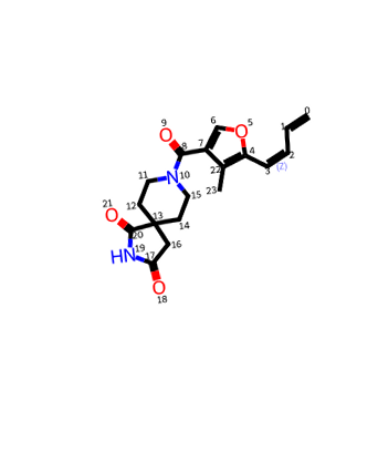 C=C/C=C\c1occ(C(=O)N2CCC3(CC2)CC(=O)NC3=O)c1C